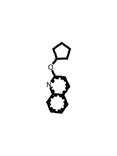 c1ccc2nc(O[C]3CCCC3)ccc2c1